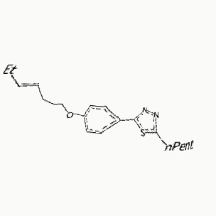 CCC=CCCOc1ccc(-c2nnc(CCCCC)s2)cc1